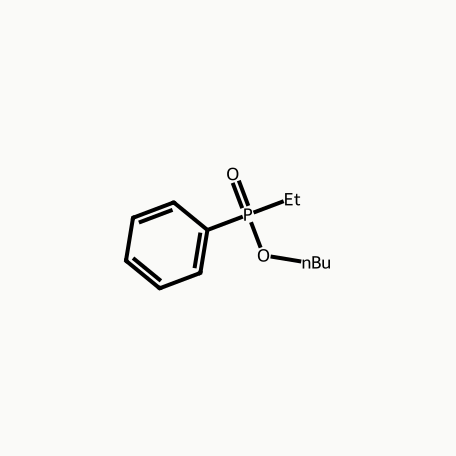 CCCCOP(=O)(CC)c1ccccc1